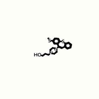 CSc1ccc2c(c1)C(N1CCN(CCCO)CC1)=Cc1ccccc1S2